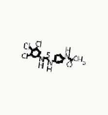 CC(=O)Nc1ccc(NC(=S)Nc2cc(Cl)c(Cl)c(Cl)c2)cc1